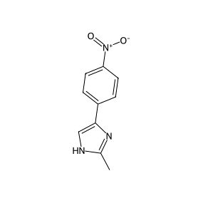 Cc1nc(-c2ccc([N+](=O)[O-])cc2)c[nH]1